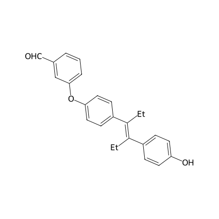 CC/C(=C(/CC)c1ccc(Oc2cccc(C=O)c2)cc1)c1ccc(O)cc1